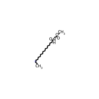 CC/C=C\CCCCCCCCCCCCCC(=O)NCC(=O)OCC